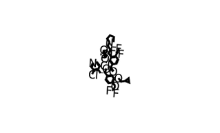 CS(=O)(=O)N(CCN1CCCC1)c1cc(C(=O)O[C@@H](Cc2c(Cl)cncc2Cl)c2ccc(OC(F)F)c(OCC3CC3)c2)ccc1C(F)(F)F